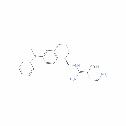 CN(c1ccccc1)c1ccc2c(c1)CCC[C@H]2CN/C(N)=C(/C=C\N)C(=O)O